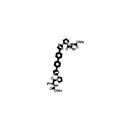 COC(=O)N[C@H](C(=O)N1CCC[C@H]1c1ncc(-c2ccc(-c3ccc(-c4cnc([C@@H]5CCCN5C(=O)[C@@H](NC(=O)OC)C(C)C)s4)cc3)cc2)s1)C(C)C